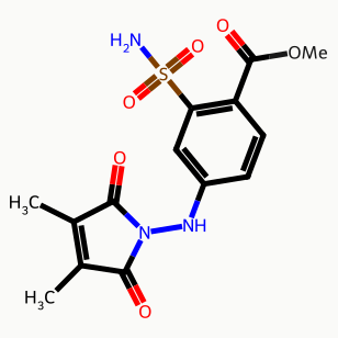 COC(=O)c1ccc(NN2C(=O)C(C)=C(C)C2=O)cc1S(N)(=O)=O